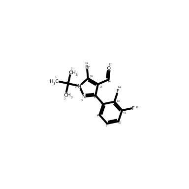 CC(C)(C)n1nc(-c2cccc(F)c2F)c(C=O)c1Br